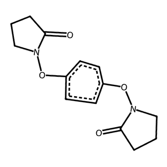 O=C1CCCN1Oc1ccc(ON2CCCC2=O)cc1